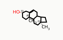 C[C@@]12CCC1C1CC=C3C[C@@H](O)CC[C@]3(C)C1CC2